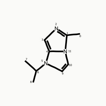 Cc1ncc2n(C(C)C)ccn12